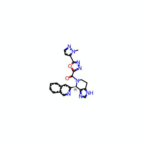 Cn1nccc1-c1nnc(C(=O)N2CCc3[nH]cnc3[C@H]2c2cc3ccccc3cn2)o1